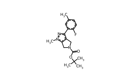 Cc1ccc(F)c(-c2nn(C)c3c2CN(C(=O)OC(C)(C)C)C3)c1